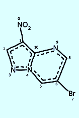 O=[N+]([O-])c1cnn2cc(Br)cnc12